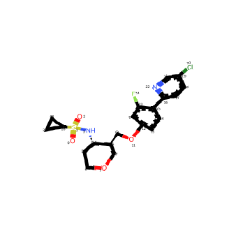 O=S(=O)(N[C@H]1CCOC[C@@H]1COc1ccc(-c2ccc(Cl)cn2)c(F)c1)C1CC1